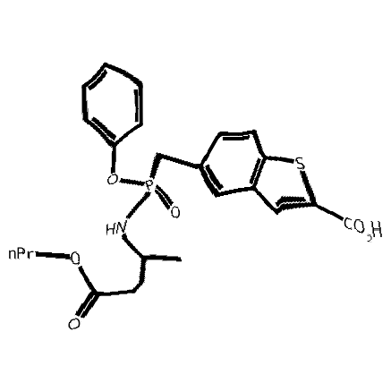 CCCOC(=O)CC(C)NP(=O)(Cc1ccc2sc(C(=O)O)cc2c1)Oc1ccccc1